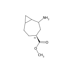 COC(=O)[C@H]1CCC2CC2C(N)C1